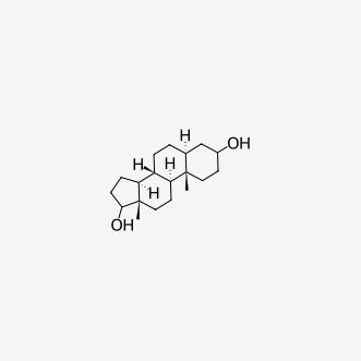 C[C@]12CCC(O)C[C@@H]1CC[C@@H]1[C@@H]2CC[C@]2(C)C(O)CC[C@@H]12